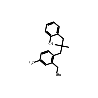 CC(C)(C)Cc1cc(C(F)(F)F)ccc1CC(C)(C)Cc1ccccc1C#N